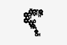 C=C1CC[C@@H](CNCc2ncc(-c3cccc(-c4cccc(-c5cnc(CNC[C@H]6C[C@@H](O)C6)c(OC)n5)c4C)c3Cl)nc2OC)N1